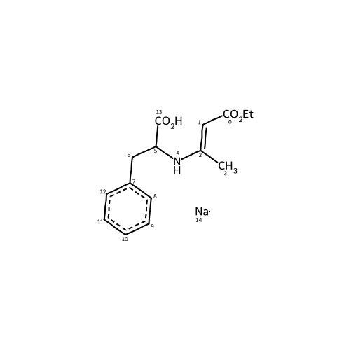 CCOC(=O)C=C(C)NC(Cc1ccccc1)C(=O)O.[Na]